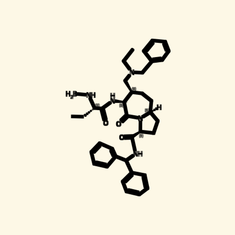 BN[C@@H](CC)C(=O)N[C@@H]1C(=O)N2[C@@H](CC[C@@H]1CN(CC)Cc1ccccc1)CC[C@H]2C(=O)NC(c1ccccc1)c1ccccc1